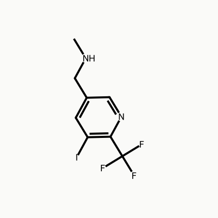 CNCc1cnc(C(F)(F)F)c(I)c1